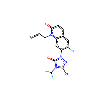 C=CCn1c(=O)ccc2cc(F)c(-n3nc(C)n(C(F)F)c3=O)cc21